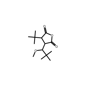 COC(C1C(=O)OC(=O)C1C(C)(C)C)C(C)(C)C